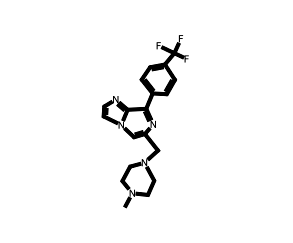 CN1CCN(Cc2cn3ccnc3c(-c3ccc(C(F)(F)F)cc3)n2)CC1